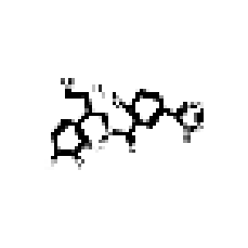 COc1ccc(-c2nnn[nH]2)cc1C(=O)N(C)CC(CCO)c1ccc(Cl)c(Cl)c1